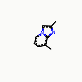 Cc1cn2c[c]cc(C)c2n1